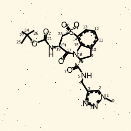 Cn1cc(CNC(=O)[C@H]2Cc3cccc4c3N2C(=O)[C@@H](NC(=O)OC(C)(C)C)CS4(=O)=O)nn1